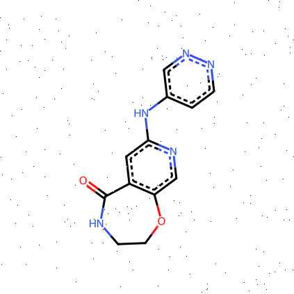 O=C1NCCOc2cnc(Nc3ccnnc3)cc21